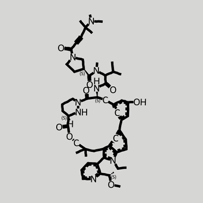 CCn1c(-c2cccnc2[C@H](C)OC)c2c3cc(ccc31)-c1cc(O)cc(c1)C[C@H](NC(=O)C(C(C)C)N(C)C(=O)[C@H]1CCN(C(=O)C#CC(C)(C)N(C)C)C1)C(=O)N1CCC[C@H](N1)C(=O)OCC(C)(C)C2